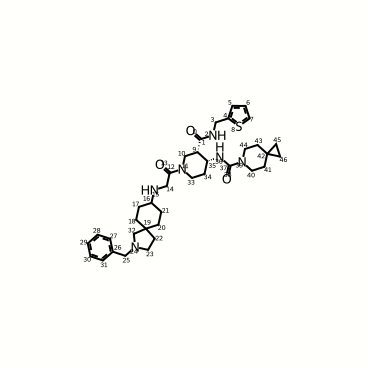 O=C(NCc1cccs1)[C@H]1CN(C(=O)CNC2CCC3(CC2)CCN(Cc2ccccc2)C3)CC[C@H]1NC(=O)N1CCC2(CC1)CC2